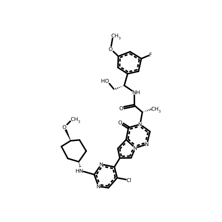 COc1cc(F)cc([C@@H](CO)NC(=O)[C@H](C)n2cnn3cc(-c4nc(N[C@H]5CC[C@H](OC)CC5)ncc4Cl)cc3c2=O)c1